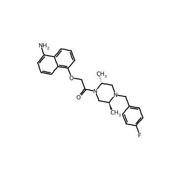 C[C@@H]1CN(Cc2ccc(F)cc2)[C@@H](C)CN1C(=O)COc1cccc2c(N)cccc12